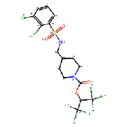 O=C(OC(C(F)(F)F)C(F)(F)F)N1CCC(CNS(=O)(=O)c2cccc(Cl)c2F)CC1